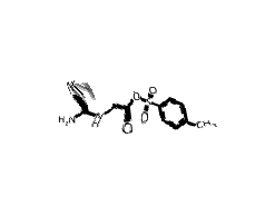 Cc1ccc(S(=O)(=O)OC(=O)CNC(=N)N)cc1